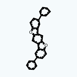 c1ccc(-c2ccc3oc4cc5c(cc4c3c2)oc2ccc(-c3ccccc3)cc25)cc1